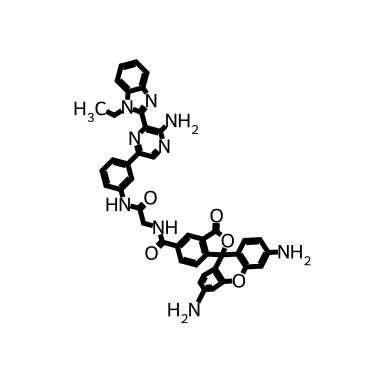 CCn1c(-c2nc(-c3cccc(NC(=O)CNC(=O)c4ccc5c(c4)C(=O)OC54c5ccc(N)cc5Oc5cc(N)ccc54)c3)cnc2N)nc2ccccc21